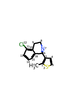 Cc1sccc1C1=NCCc2c(Cl)cccc21